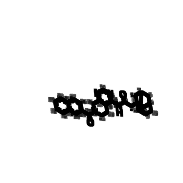 O=C(CC12CC3CC(CC(C3)C1)C2)Nc1ncnc2c1CCN(C(=O)c1ccc3ccccc3c1)C2